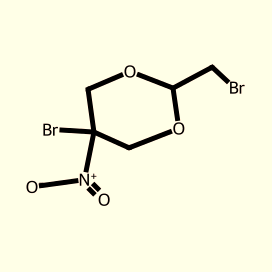 O=[N+]([O-])C1(Br)COC(CBr)OC1